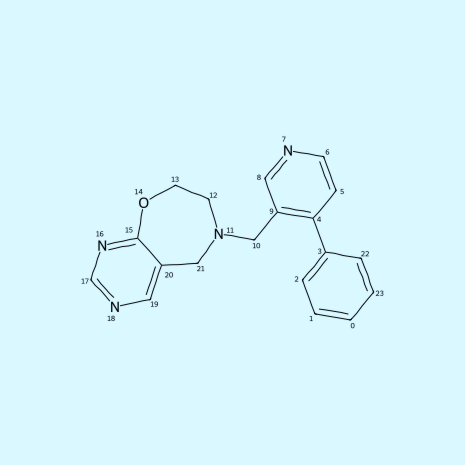 c1ccc(-c2ccncc2CN2CCOc3ncncc3C2)cc1